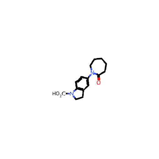 O=C1CCCCCN1c1ccc2c(c1)CCN2C(=O)O